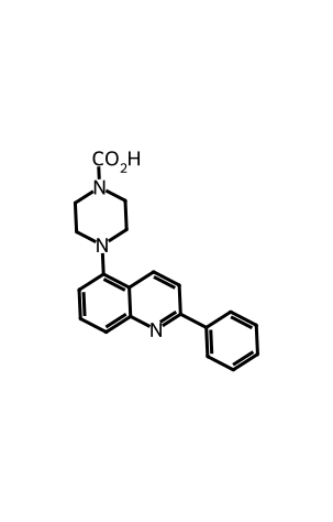 O=C(O)N1CCN(c2cccc3nc(-c4ccccc4)ccc23)CC1